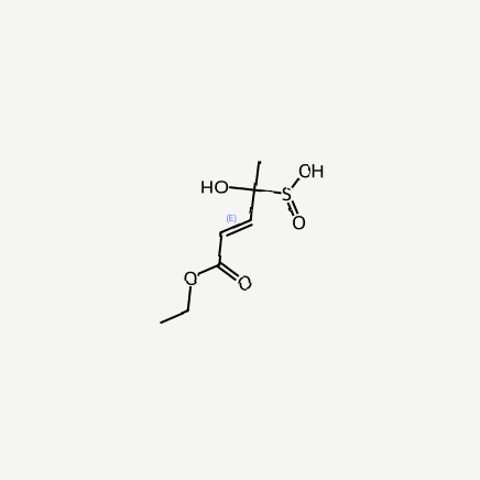 CCOC(=O)/C=C/C(C)(O)S(=O)O